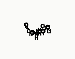 Cc1cc(-c2c(Cl)cccc2Cl)cc2nnc(Nc3ccc(OCCN4CCCC4)nc3)nc12